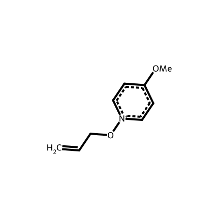 C=CCO[n+]1ccc(OC)cc1